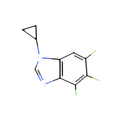 Fc1cc2c(ncn2C2CC2)c(F)c1F